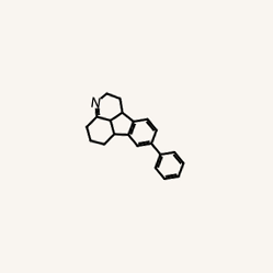 c1ccc(-c2ccc3c(c2)C2CCCC4=NCCC3C42)cc1